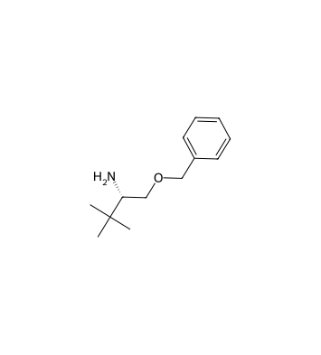 CC(C)(C)[C@H](N)COCc1ccccc1